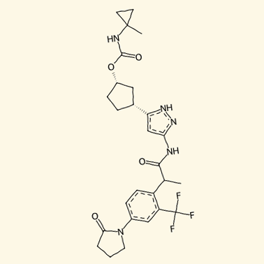 CC(C(=O)Nc1cc([C@@H]2CC[C@H](OC(=O)NC3(C)CC3)C2)[nH]n1)c1ccc(N2CCCC2=O)cc1C(F)(F)F